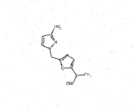 CC(C=O)c1ccc(Cn2ccc([N+](=O)[O-])n2)o1